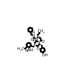 C=CCN1CC(=O)N2[C@@H](Cc3ccc(O)cc3)C(=O)N(Cc3cccc4c(C)n[nH]c34)C[C@@H]2N1C(=O)NCc1ccccc1